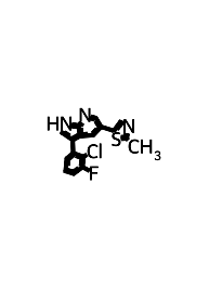 Cc1ncc(-c2cnc3[nH]cc(-c4cccc(F)c4Cl)c3c2)s1